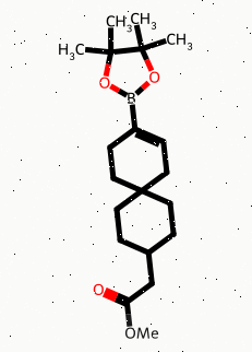 COC(=O)CC1CCC2(CC=C(B3OC(C)(C)C(C)(C)O3)CC2)CC1